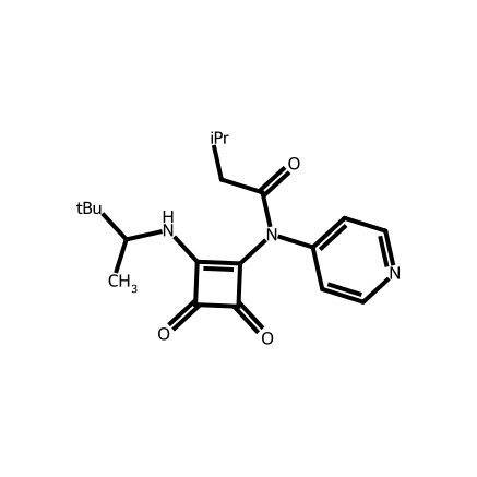 CC(C)CC(=O)N(c1ccncc1)c1c(NC(C)C(C)(C)C)c(=O)c1=O